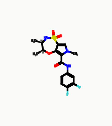 C[C@@H]1NS(=O)(=O)c2cn(C)c(C(=O)Nc3ccc(F)c(F)c3)c2O[C@@H]1C